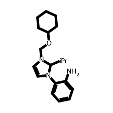 CC(C)C1N(COC2CCCCC2)C=CN1c1ccccc1N